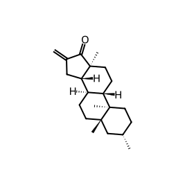 C=C1C[C@H]2[C@@H]3CC[C@@]4(C)C[C@@H](C)CC[C@]4(C)[C@H]3CC[C@]2(C)C1=O